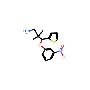 CC(C)(CN)C(Oc1cccc([N+](=O)[O-])c1)c1cccs1